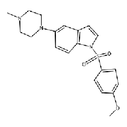 COc1ccc(S(=O)(=O)n2ccc3cc(N4CCN(C)CC4)ccc32)cc1